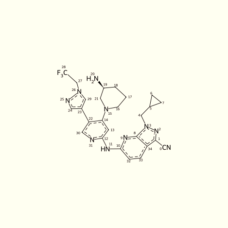 N#Cc1nn(CC2CC2)c2nc(Nc3cc(N4CCC[C@H](N)C4)c(-c4cnn(CC(F)(F)F)c4)cn3)ccc12